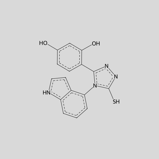 Oc1ccc(-c2nnc(S)n2-c2cccc3[nH]ccc23)c(O)c1